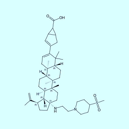 C=C(C)[C@@H]1CC[C@]2(NCCN3CCC(S(C)(=O)=O)CC3)CC[C@]3(C)[C@H](CC[C@@H]4[C@@]5(C)CC=C(C6=CC7C(C6)C7C(=O)O)C(C)(C)[C@@H]5CC[C@]43C)[C@@H]12